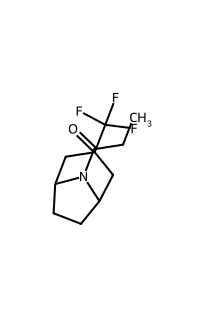 CCC(=O)N1C2CCC1CC(C(F)(F)F)C2